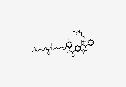 COc1cc(C(=O)N(C)c2ccc(C)cc2OCCCCNC(=O)OCCCN(C)C)ccc1NC(=O)c1ccccc1OCCCN